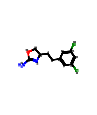 NC1=NC(CCc2cc(Cl)cc(Cl)c2)CO1